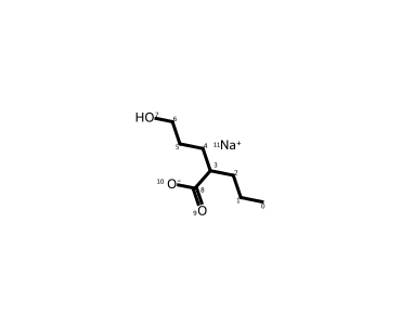 CCCC(CCCO)C(=O)[O-].[Na+]